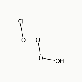 OOOOCl